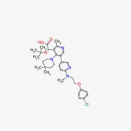 Cc1ncc(-c2ccc(N(C)CCOc3ccc(Cl)cc3)nc2)c(N2CCC(C)(C)CC2)c1[C@H](OC(C)(C)C)C(=O)O